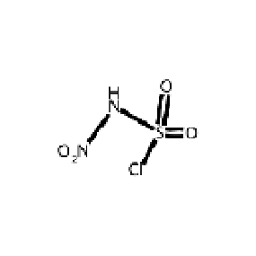 O=[N+]([O-])NS(=O)(=O)Cl